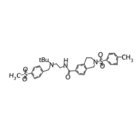 Cc1ccc(S(=O)(=O)N2CCc3cc(C(=O)NCCN(Cc4ccc(S(C)(=O)=O)cc4)C(C)(C)C)ccc3C2)cc1